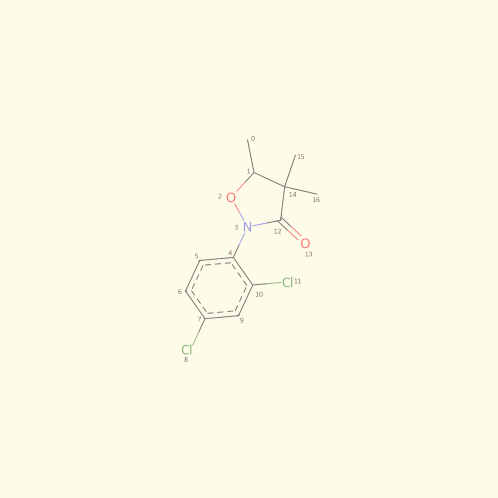 CC1ON(c2ccc(Cl)cc2Cl)C(=O)C1(C)C